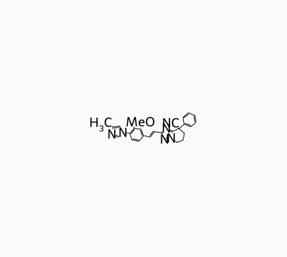 COc1cc(/C=C/c2nc3n(n2)CCC[C@@]3(C#N)c2ccccc2)ccc1-n1cnc(C)c1